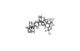 CCC(Oc1ccc(C(C)(C)C)cc1C(C)(C)C)C(=O)Nc1ccc(NNC(C)=O)cc1